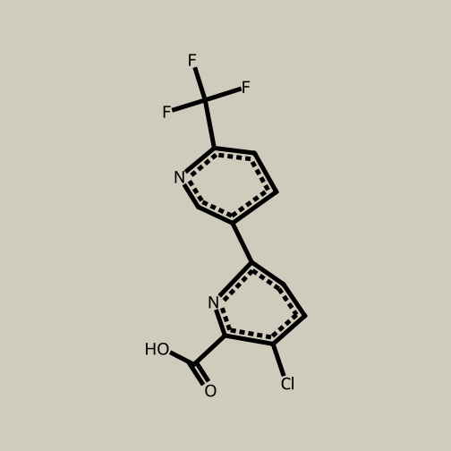 O=C(O)c1nc(-c2ccc(C(F)(F)F)nc2)ccc1Cl